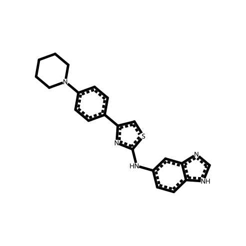 c1nc2cc(Nc3nc(-c4ccc(N5CCCCC5)cc4)cs3)ccc2[nH]1